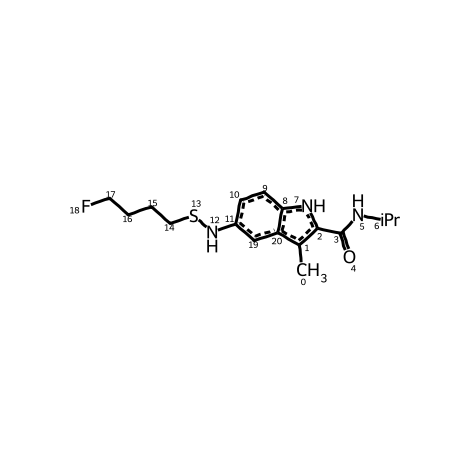 Cc1c(C(=O)NC(C)C)[nH]c2ccc(NSCCCCF)cc12